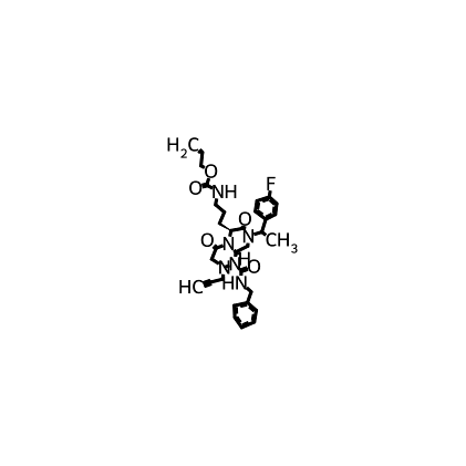 C#CCN1CC(=O)N2[C@@H](CCCNC(=O)OCC=C)C(=O)N(C(C)c3ccc(F)cc3)C[C@@H]2N1C(=O)NCc1ccccc1